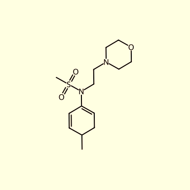 CC1C=CC(N(CCN2CCOCC2)S(C)(=O)=O)=CC1